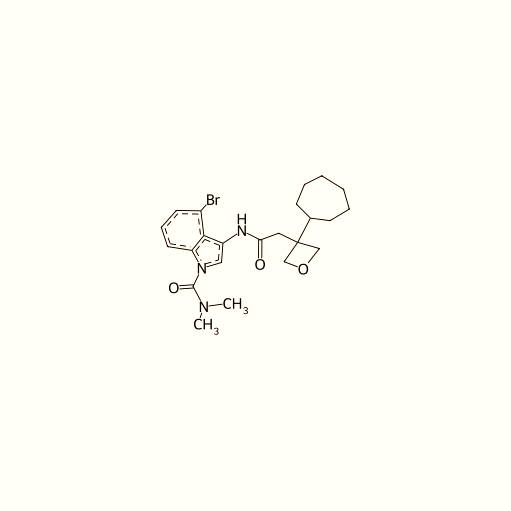 CN(C)C(=O)n1cc(NC(=O)CC2(C3CCCCCC3)COC2)c2c(Br)cccc21